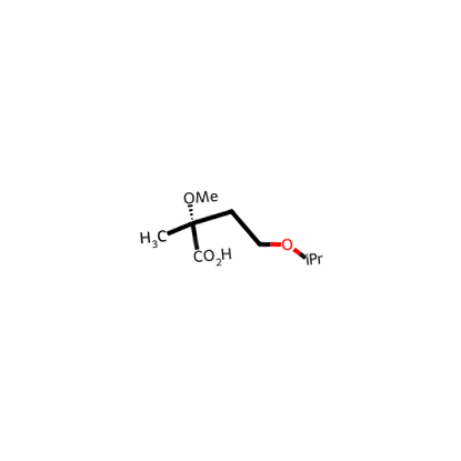 CO[C@](C)(CCOC(C)C)C(=O)O